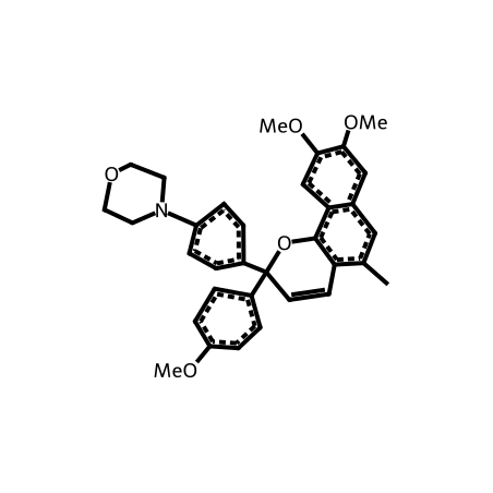 COc1ccc(C2(c3ccc(N4CCOCC4)cc3)C=Cc3c(C)cc4cc(OC)c(OC)cc4c3O2)cc1